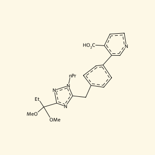 CCCn1nc(C(CC)(OC)OC)nc1Cc1ccc(-c2cnccc2C(=O)O)cc1